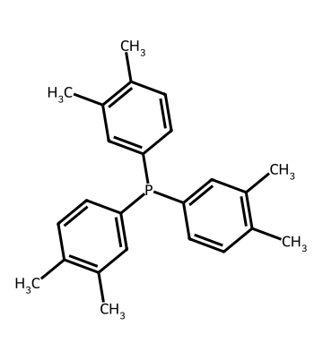 Cc1ccc(P(c2ccc(C)c(C)c2)c2ccc(C)c(C)c2)cc1C